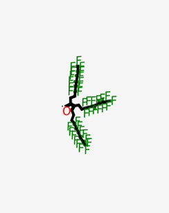 FC(F)(F)C(F)(F)C(F)(F)C(F)(F)C(F)(F)C(F)(F)CCc1[c]oc(CCC(F)(F)C(F)(F)C(F)(F)C(F)(F)C(F)(F)C(F)(F)F)c1CCC(F)(F)C(F)(F)C(F)(F)C(F)(F)C(F)(F)C(F)(F)F